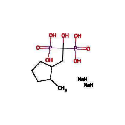 CC1CCCC1CC(O)(P(=O)(O)O)P(=O)(O)O.[NaH].[NaH]